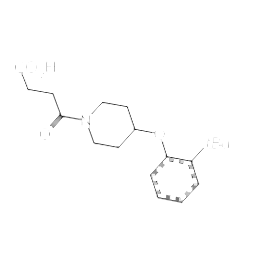 CC(C)(C)c1ccccc1OC1CCN(C(=O)CCC(=O)O)CC1